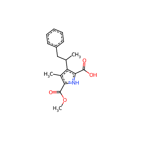 COC(=O)c1[nH]c(C(=O)O)c(C(C)Cc2ccccc2)c1C